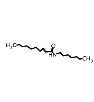 CCCCCCC/C=C/C(=O)NCCCCCCC